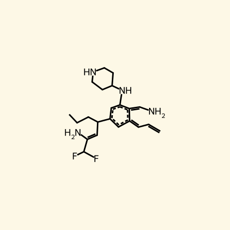 C=C/C=c1/cc(C(/C=C(\N)C(F)F)CCC)cc(NC2CCNCC2)/c1=C/N